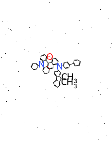 CC1(C)c2ccccc2-c2ccc(N(c3ccc(-c4ccccc4)cc3)c3ccc4c5c(cccc35)-c3c(cccc3N(C3=CCCC=C3)c3ccccc3)O4)cc21